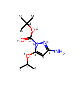 CC(C)Oc1cc(N)nn1C(=O)OC(C)(C)C